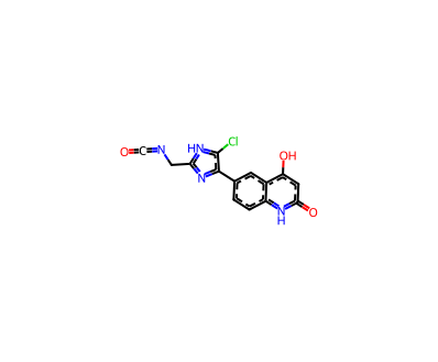 O=C=NCc1nc(-c2ccc3[nH]c(=O)cc(O)c3c2)c(Cl)[nH]1